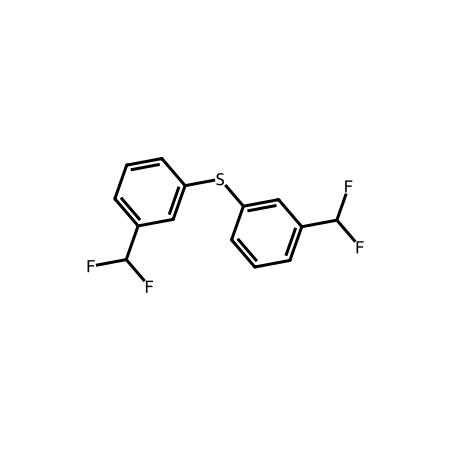 FC(F)c1cccc(Sc2cccc(C(F)F)c2)c1